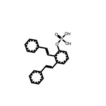 O=P(O)(O)Oc1cccc(C=Cc2ccccc2)c1C=Cc1ccccc1